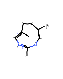 CCCC1CC/C(C)=C/N=C(/C)NC1